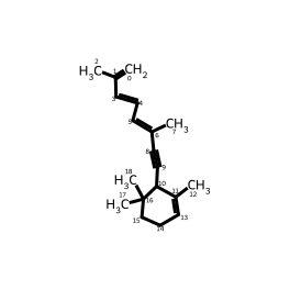 C=C(C)C=CC=C(C)C#CC1C(C)=CCCC1(C)C